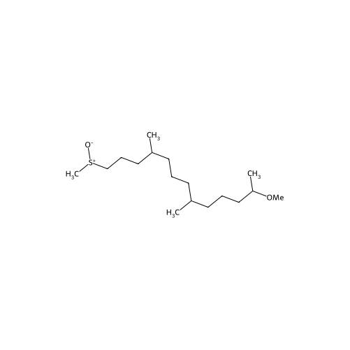 COC(C)CCCC(C)CCCC(C)CCC[S+](C)[O-]